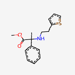 COC(=O)C(C)(NCCc1cccs1)c1ccccc1